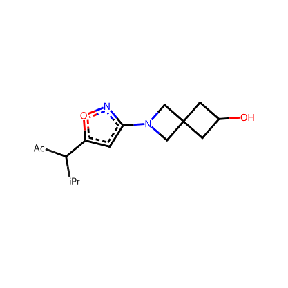 CC(=O)C(c1cc(N2CC3(CC(O)C3)C2)no1)C(C)C